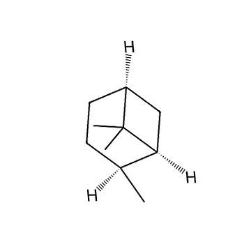 C[C@H]1CC[C@H]2C[C@@H]1C2(C)C